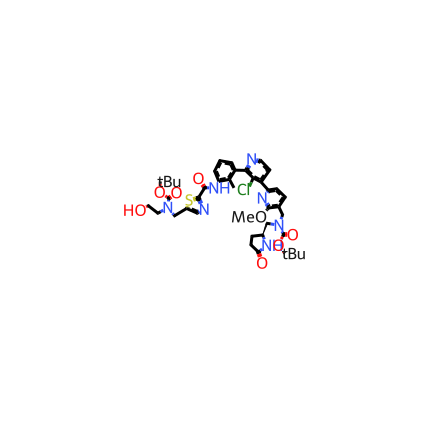 COc1nc(-c2ccnc(-c3cccc(NC(=O)c4ncc(CN(CCO)C(=O)OC(C)(C)C)s4)c3C)c2Cl)ccc1CN(C[C@@H]1CCC(=O)N1)C(=O)OC(C)(C)C